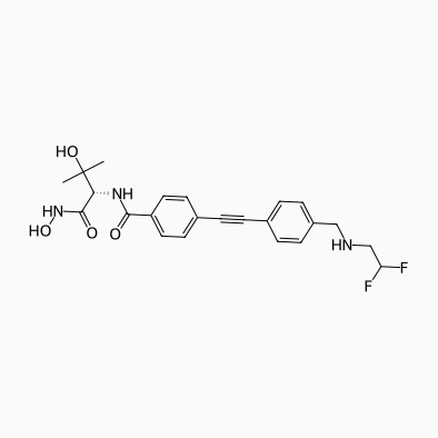 CC(C)(O)[C@H](NC(=O)c1ccc(C#Cc2ccc(CNCC(F)F)cc2)cc1)C(=O)NO